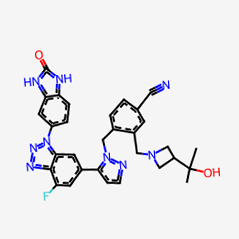 CC(C)(O)C1CN(Cc2cc(C#N)ccc2Cn2nccc2-c2cc(F)c3nnn(-c4ccc5[nH]c(=O)[nH]c5c4)c3c2)C1